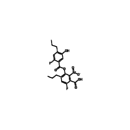 CCCc1cc(F)c(C(=O)Oc2c(CCC)cc(F)c(C(=O)O)c2[N+](=O)[O-])cc1O